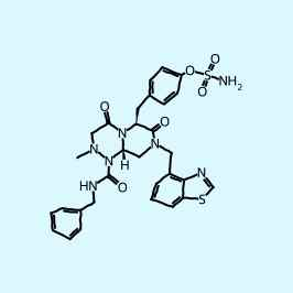 CN1CC(=O)N2[C@@H](Cc3ccc(OS(N)(=O)=O)cc3)C(=O)N(Cc3cccc4scnc34)C[C@@H]2N1C(=O)NCc1ccccc1